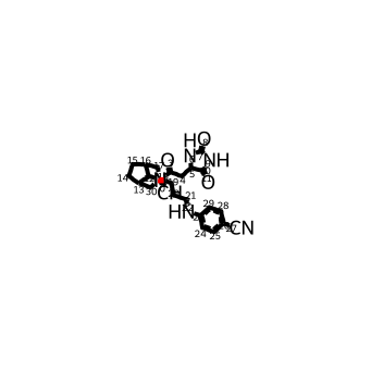 CN(C(=O)CC1NC(=O)NC1=O)C1C2CCC1CN(CCCNc1ccc(C#N)cc1)C2